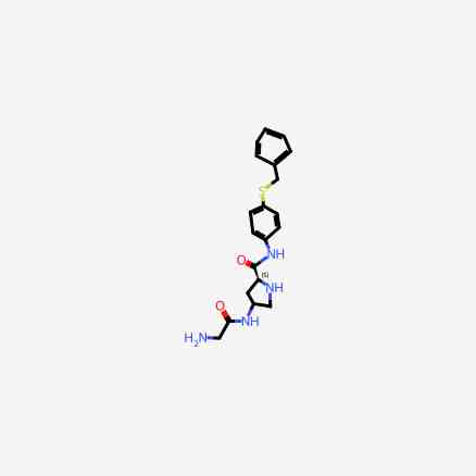 NCC(=O)NC1CN[C@H](C(=O)Nc2ccc(SCc3ccccc3)cc2)C1